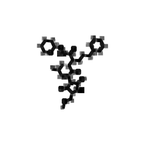 COC[C@@H]1NC(=O)N(NC(=O)[C@H](CC(C)C)[C@H](CCCc2ccccc2)C(=O)NOC2CCCCO2)C1=O